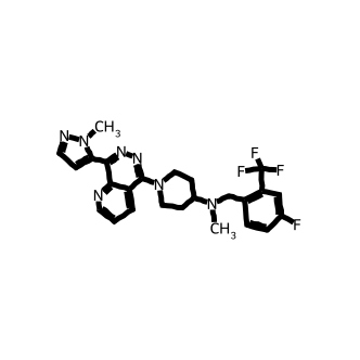 CN(Cc1ccc(F)cc1C(F)(F)F)C1CCN(c2nnc(-c3ccnn3C)c3ncccc23)CC1